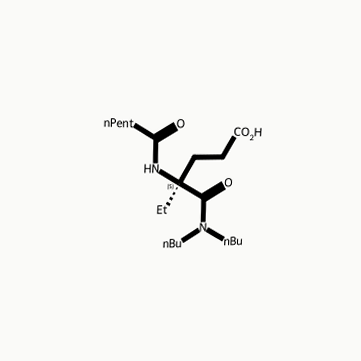 CCCCCC(=O)N[C@@](CC)(CCC(=O)O)C(=O)N(CCCC)CCCC